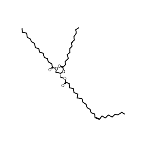 CCCCCCCC/C=C\CCCCCCCCCCCCCC(=O)OC[C@H](COC(=O)CCCCCCCCCCCCCCC)OC(=O)CCCCCCCCCCCCC